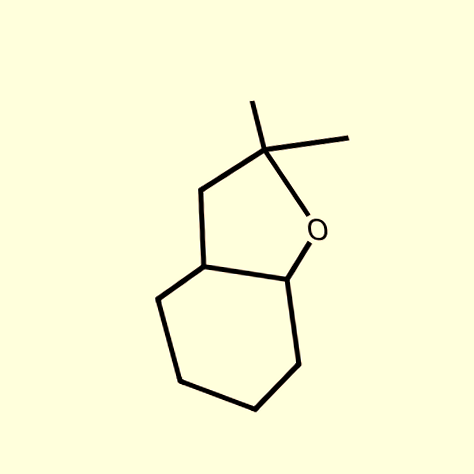 CC1(C)CC2CCCCC2O1